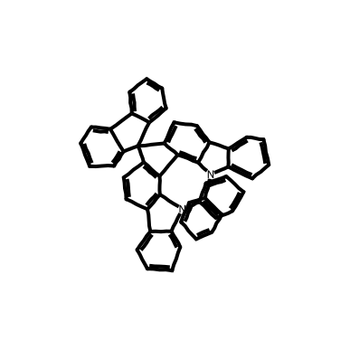 c1ccc(-n2c3ccccc3c3ccc4c(c32)-c2c(ccc3c5ccccc5n(-c5ccccc5)c23)C42c3ccccc3-c3ccccc32)cc1